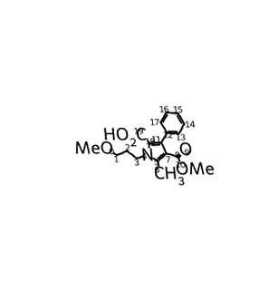 COCCCn1c(C)c(C(=O)OC)c(-c2ccccc2)c1C(=O)O